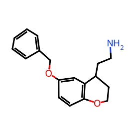 NCCC1CCOc2ccc(OCc3ccccc3)cc21